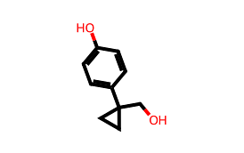 OCC1(c2ccc(O)cc2)CC1